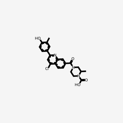 Cc1cc(-c2cc(Cl)c3ccc(C(=O)N4CCN(C(=O)O)C(C)C4)cc3n2)ccc1O